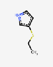 CCSc1cc[nH]c1